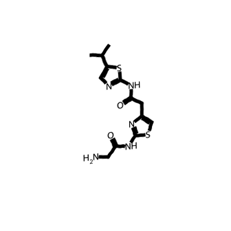 CC(C)c1cnc(NC(=O)Cc2csc(NC(=O)CN)n2)s1